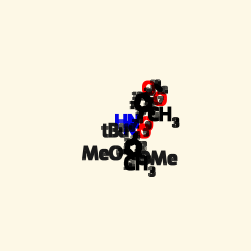 COc1cc(C(=O)N(NC(=O)c2ccc3c(c2C)OCCO3)C(C)(C)C)cc(OC)c1C